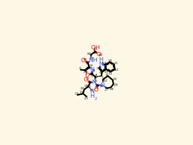 Cc1oc([C@@H](Cc2c[nH]c3ccccc23)N(C(=O)[C@@H](N)CC(C)C)C(=O)N2CCCCCC2)nc1C(=O)NCC(=O)O